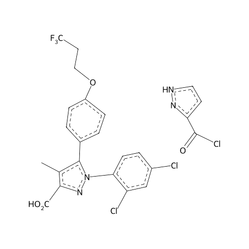 Cc1c(C(=O)O)nn(-c2ccc(Cl)cc2Cl)c1-c1ccc(OCCC(F)(F)F)cc1.O=C(Cl)c1cc[nH]n1